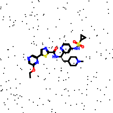 CCOc1cncc(-c2cnc(C(=O)N[C@@H](CC3CCN(C)CC3)c3cc(NS(=O)(=O)C4CC4)ccn3)s2)n1